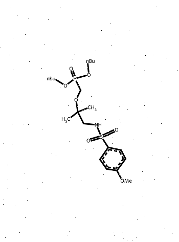 CCCCOP(=O)(COC(C)(C)CNS(=O)(=O)c1ccc(OC)cc1)OCCCC